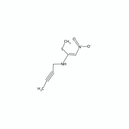 CC#CCNC(=C[N+](=O)[O-])SC